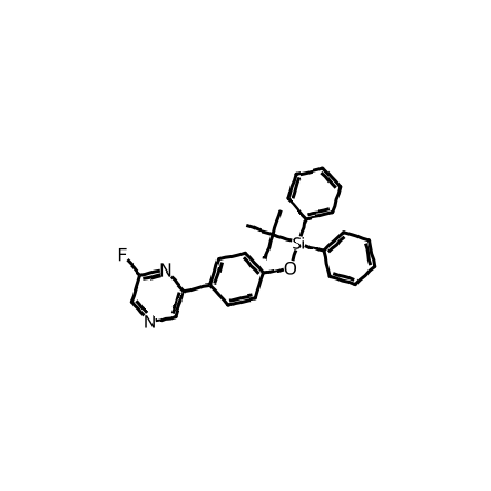 CC(C)(C)[Si](Oc1ccc(-c2cncc(F)n2)cc1)(c1ccccc1)c1ccccc1